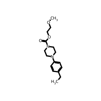 CCc1ccc(N2CCN(C(=O)OCCOC)CC2)cc1